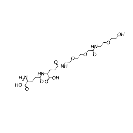 N[C@@H](CCC(=O)N[C@@H](CCC(=O)NCCOCCOCC(=O)NCCOCCO)C(=O)O)C(=O)O